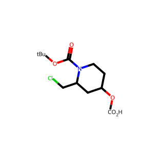 CC(C)(C)OC(=O)N1CCC(OC(=O)O)CC1CCl